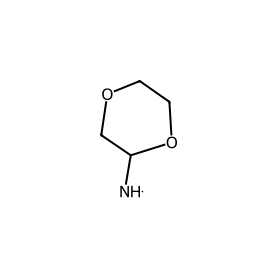 [NH]C1COCCO1